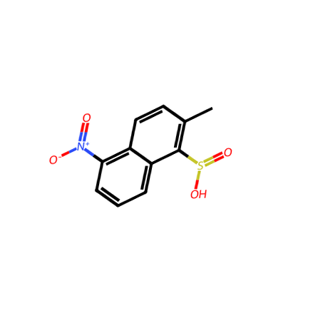 Cc1ccc2c([N+](=O)[O-])cccc2c1S(=O)O